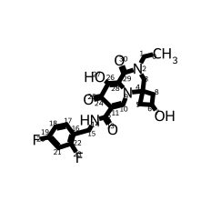 CCN1CC2(CC(O)C2)n2cc(C(=O)NCc3ccc(F)cc3F)c(=O)c(O)c2C1=O